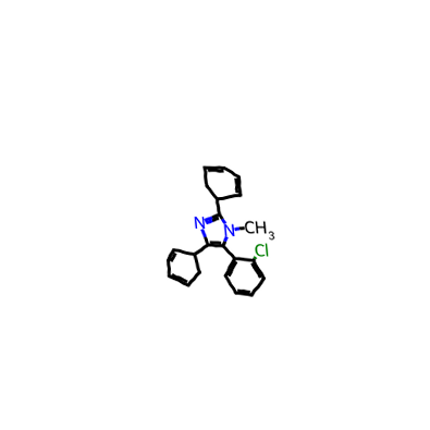 Cn1c(C2C=CC=CC2)nc(C2C=CC=CC2)c1-c1ccccc1Cl